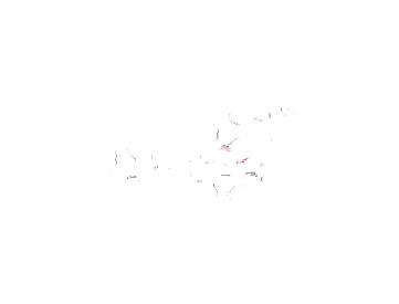 COC(=O)C(C)C(c1ccc(C)c(CN2CC(CCOCc3ccccc3)Oc3ccccc3S2(O)O)c1)c1ccc(C(C)=O)s1